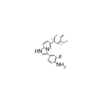 C=C/C(=C\C(=C/C)C1=CN2C(c3ccc(N)c(F)c3)=CNC2C=C1)CC